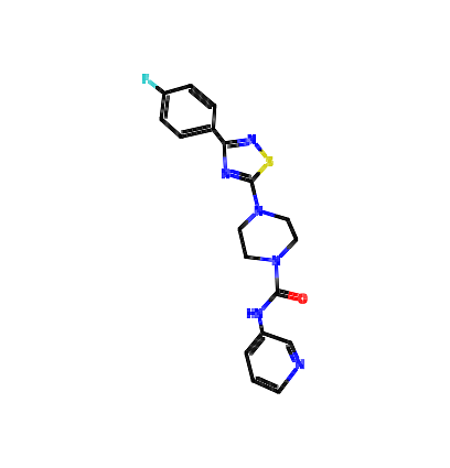 O=C(Nc1cccnc1)N1CCN(c2nc(-c3ccc(F)cc3)ns2)CC1